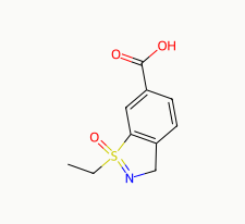 CCS1(=O)=NCc2ccc(C(=O)O)cc21